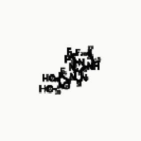 CC(Nc1nc(C(F)(F)F)nc2c1ncn2[C@@H]1O[C@H](CO)[C@@H](O)[C@@H]1F)C1CC1